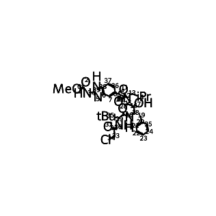 COC(=O)Nc1nc2cc(S(=O)(=O)N(CC(C)C)C[C@@H](O)[C@H](Cc3ccccc3)NC(=O)[C@@H](NC(=O)CCl)C(C)(C)C)ccc2[nH]1